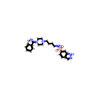 O=S(=O)(NCCCCN1CCN(c2nsc3ccccc23)CC1)c1ccc2cn[nH]c2c1